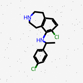 CC(Nc1c(Cl)ccc2c1CCNCC2)c1ccc(Cl)cc1